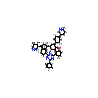 c1ccc(-c2nc(-c3ccccc3)nc(-c3cccc4oc5c(-c6ccc(-c7cccnc7)cc6)cc(-c6ccc(-c7cccnc7)cc6)cc5c34)n2)cc1